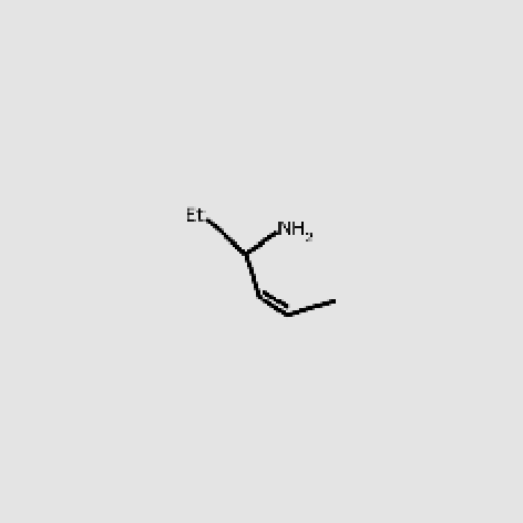 C/C=C\C(N)CC